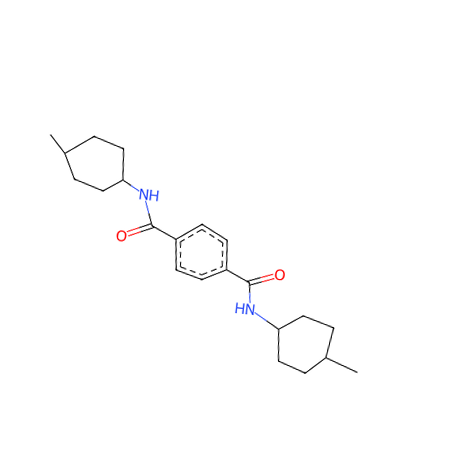 CC1CCC(NC(=O)c2ccc(C(=O)NC3CCC(C)CC3)cc2)CC1